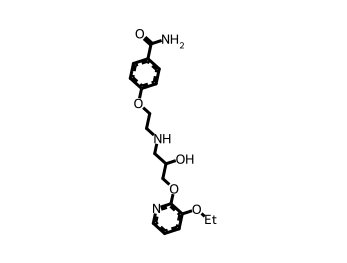 CCOc1cccnc1OCC(O)CNCCOc1ccc(C(N)=O)cc1